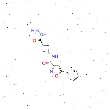 NNC(=O)[C@H]1C[C@H](NC(=O)c2cc(-c3ccccc3)on2)C1